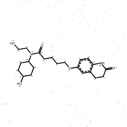 O=C1CCc2cc(OCCCCC(=O)N(CCO)C3CCC(O)CC3)ccc2N1